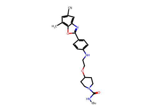 Cc1cc(C#N)cc2nc(-c3ccc(NCCOC4CCN(C(=O)NC(C)(C)C)CC4)cc3)oc12